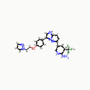 Nc1ncc(-c2ccc3ncc(-c4ccc(OCCn5cccn5)cc4)n3n2)cc1C(F)(F)F